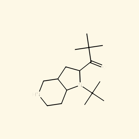 CC(C)(C)C(=O)C1CC2CNCCC2N1C(C)(C)C